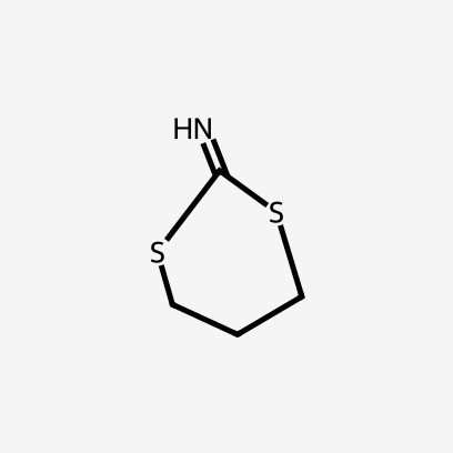 N=C1SCCCS1